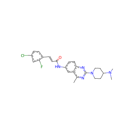 Cc1nc(N2CCC(N(C)C)CC2)nc2ccc(NC(=O)C=Cc3ccc(Cl)cc3F)cc12